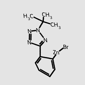 CC(C)(C)n1nnc(-c2cccc[c]2[Zn][Br])n1